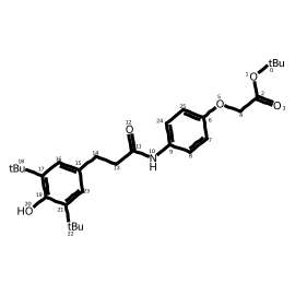 CC(C)(C)OC(=O)COc1ccc(NC(=O)CCc2cc(C(C)(C)C)c(O)c(C(C)(C)C)c2)cc1